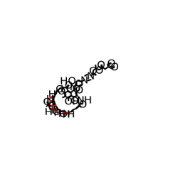 C=C(OC(C)OC(=O)CC(C=O)C=O)N1CCN(c2cc(O)c3nc4c5c6c7c(C)c(O)c5c(=O)c(c-4oc3c2)NC(=O)/C(C)=C\C=C\[C@H](C)[C@H](O)[C@@H](C)[C@@H](O)[C@@H](C)[C@H](OC(C)=O)[C@H](C)[C@@H](C)/C=C/O[C@@](C)(O7)C6=O)CC1